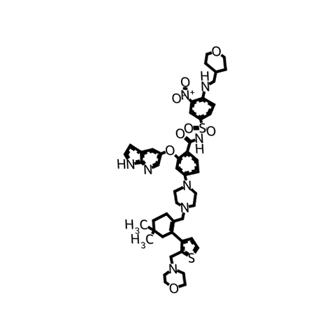 CC1(C)CCC(CN2CCN(c3ccc(C(=O)NS(=O)(=O)c4ccc(NCC5CCOCC5)c([N+](=O)[O-])c4)c(Oc4cnc5[nH]ccc5c4)c3)CC2)=C(c2ccsc2CN2CCOCC2)C1